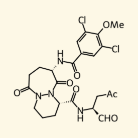 COc1c(Cl)cc(C(=O)N[C@H]2CCC(=O)N3CCC[C@@H](C(=O)N[C@H](C=O)CC(C)=O)N3C2=O)cc1Cl